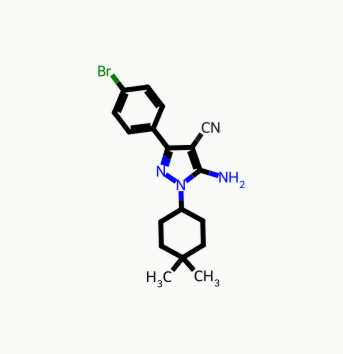 CC1(C)CCC(n2nc(-c3ccc(Br)cc3)c(C#N)c2N)CC1